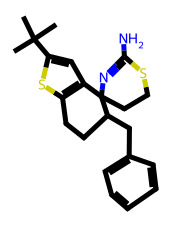 CC(C)(C)c1cc2c(s1)CCC(Cc1ccccc1)C21CCSC(N)=N1